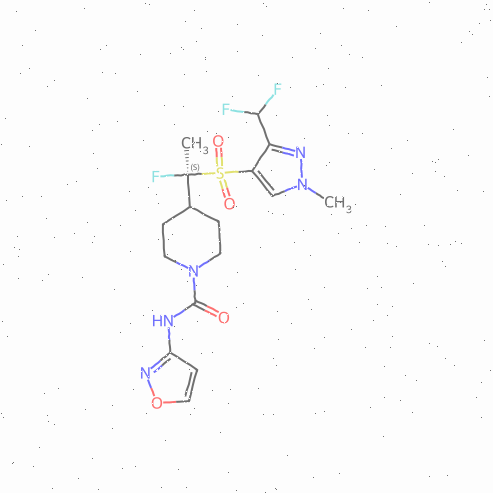 Cn1cc(S(=O)(=O)[C@](C)(F)C2CCN(C(=O)Nc3ccon3)CC2)c(C(F)F)n1